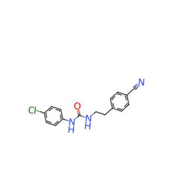 N#Cc1ccc(CCNC(=O)Nc2ccc(Cl)cc2)cc1